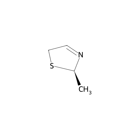 C[C@@H]1N=CCS1